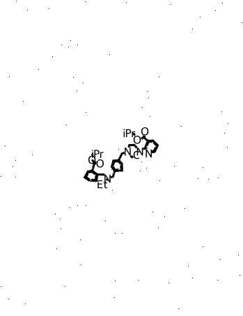 CCN(Cc1ccc(CN2CCN(c3ncccc3C(=O)OC(C)C)CC2)cc1)Cc1ccccc1C(=O)OC(C)C